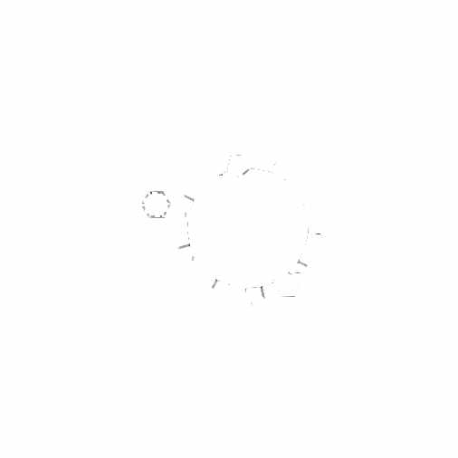 CC[C@H](C)[C@@H]1NC(=O)[C@H](C)NC(=O)[C@H](Cc2ccc(OC)cc2)NC(=O)CC[C@@H]2CSC(=N2)[C@@H](C)[C@@H](O)C[C@H](C)C[C@@H](C(C)(C)C)OC(=O)[C@@H]2CCCN2C1=O